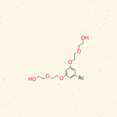 CC(=O)c1cc(OCCOCCO)cc(OCCOCCO)c1